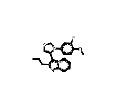 CCCc1nc2ccccn2c1C1=CSCN1c1ccc(OC)c(F)c1